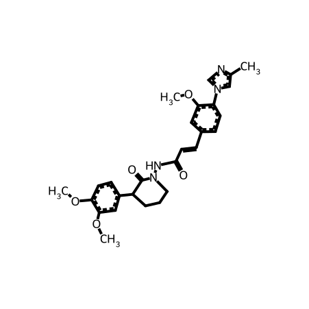 COc1ccc(C2CCCN(NC(=O)C=Cc3ccc(-n4cnc(C)c4)c(OC)c3)C2=O)cc1OC